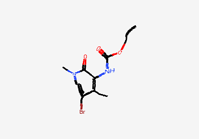 CCOC(=O)Nc1c(C)c(Br)cn(C)c1=O